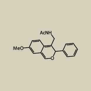 COc1ccc2c(c1)=COC(c1ccccc1)C=2CNC(C)=O